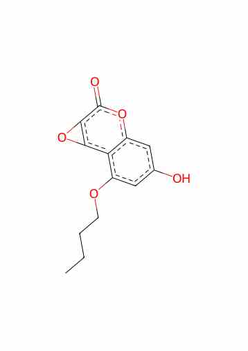 CCCCOc1cc(O)cc2oc(=O)c3c(c12)O3